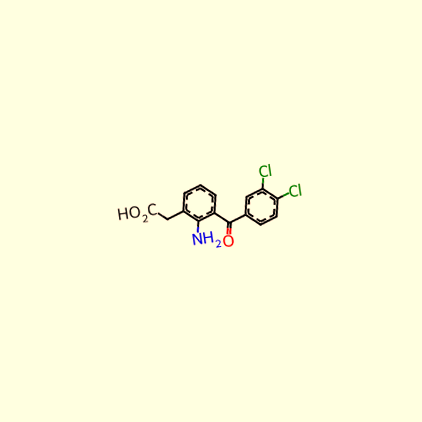 Nc1c(CC(=O)O)cccc1C(=O)c1ccc(Cl)c(Cl)c1